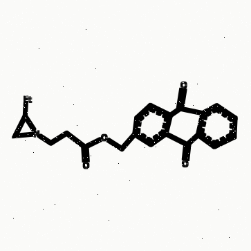 CCC1CN1CCC(=O)OCc1ccc2c(c1)C(=O)c1ccccc1C2=O